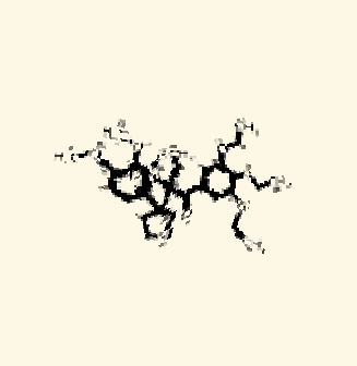 CCOc1cc(C(=O)C(CC)(C2(c3ccc(OC)c(OC)c3)CCNC2)S(=O)(=O)O)cc(OCC)c1OCC